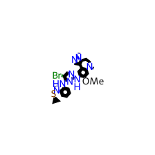 COc1cc2c(cc1Nc1ncc(Br)c(Nc3ccccc3N(C)SC3CC3)n1)-c1cnn(C)c1CCN2C